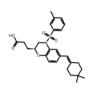 Cc1cccc(S(=O)(=O)N2C[C@H](CCC(=O)O)Oc3ccc(C=C4CCC(C)(C)CC4)cc32)c1